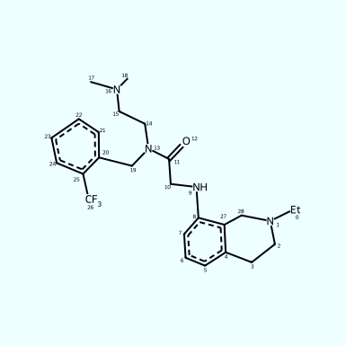 CCN1CCc2cccc(NCC(=O)N(CCN(C)C)Cc3ccccc3C(F)(F)F)c2C1